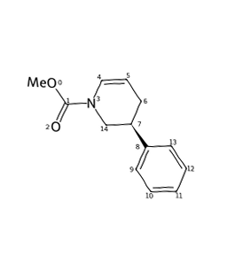 COC(=O)N1C=CC[C@@H](c2ccccc2)C1